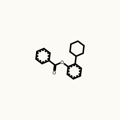 O=C(Oc1ccccc1C1CCCCC1)c1ccccc1